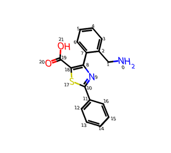 NCc1ccccc1-c1nc(-c2ccccc2)sc1C(=O)O